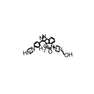 NC(=O)N(c1cccc2c1C(=O)C1=C(c3ccc(N4CCNCC4)cc3)N=NC12)N1CCN(CCO)CC1